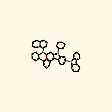 c1ccc(-c2ccccc2N(c2ccc3c4ccc(-n5c6ccccc6c6ccccc65)cc4n(-c4ccccc4)c3c2)c2cccc3ccccc23)cc1